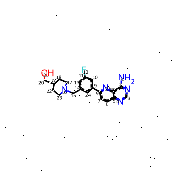 Nc1ncnc2ccc(-c3cc(F)cc(CN4CCC(CO)CC4)c3)nc12